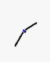 CCCCCCCCCCCCCCCCCCCN1C=CN(CCCCCCCCCCCCCCCC)C1C